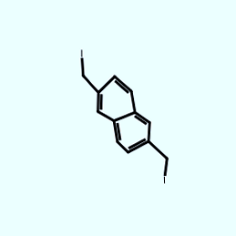 ICc1ccc2cc(CI)ccc2c1